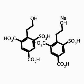 O=C(O)c1cc(C(=O)O)c(CCO)c(S(=O)(=O)O)c1.O=C(O)c1cc(C(=O)O)c(CCO)c(S(=O)(=O)O)c1.[Na]